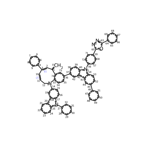 C=C1/C=C(c2ccccc2)\C=C/CN(c2ccc3c(c2)c2ccccc2n3-c2ccccc2)c2ccc(-c3ccc4c(c3)c3cc(-c5ccccc5)ccc3n4-c3ccc(-c4nnc(-c5ccccc5)o4)cc3)cc21